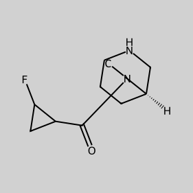 O=C(C1CC1F)N1CC2CC[C@H](CN2)C1